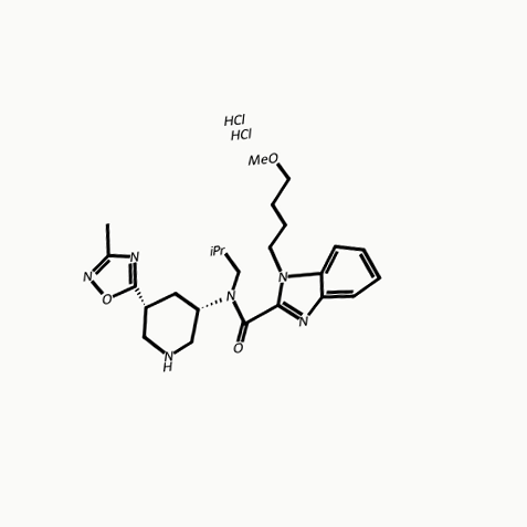 COCCCCn1c(C(=O)N(CC(C)C)[C@@H]2CNC[C@H](c3nc(C)no3)C2)nc2ccccc21.Cl.Cl